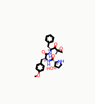 COc1ccc(C[C@H](NC(=O)[C@@H]2NCC[C@@H]2O)C(=O)N[C@@H](Cc2ccccc2)C(=O)[C@@]2(C)CO2)cc1